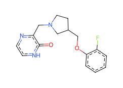 O=c1[nH]ccnc1CN1CCC(COc2ccccc2F)C1